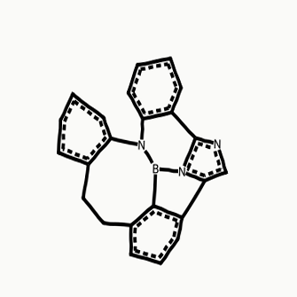 c1ccc2c(c1)CCc1cccc3c1B1N2c2ccccc2-c2ncc-3n21